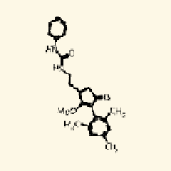 COC1=C(c2c(C)cc(C)cc2C)C(=O)CC1CCNC(=O)Nc1ccccc1